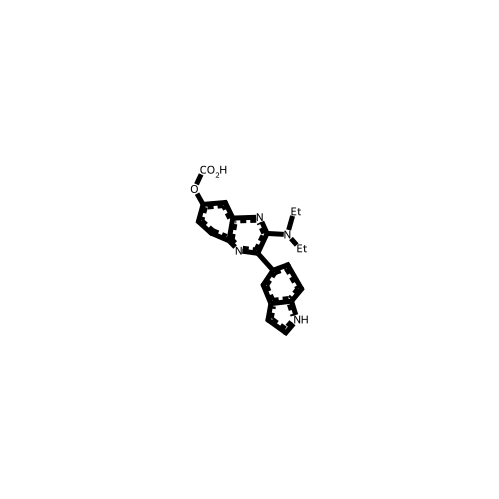 CCN(CC)c1nc2cc(OC(=O)O)ccc2nc1-c1ccc2[nH]ccc2c1